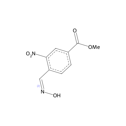 COC(=O)c1ccc(/C=N\O)c([N+](=O)[O-])c1